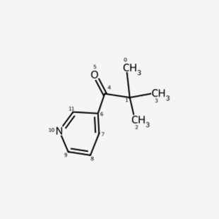 CC(C)(C)C(=O)c1cccnc1